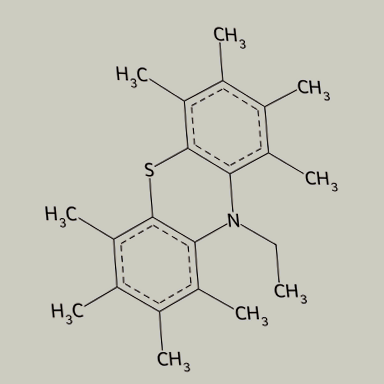 CCN1c2c(C)c(C)c(C)c(C)c2Sc2c(C)c(C)c(C)c(C)c21